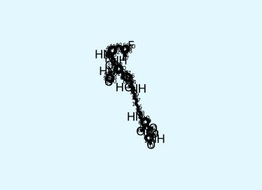 O=C1CCC(N2C(=O)c3ccc(NCCCCCCCCNC(O)CN4CCN(c5ccc(C(=O)Nc6n[nH]c7ccc(Cc8cc(F)cc(F)c8)cc67)c(NC6CCOCC6)c5)CC4)cc3C2=O)C(=O)N1